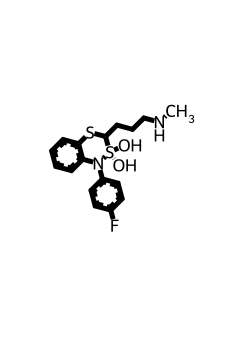 CNCCCC1Sc2ccccc2N(c2ccc(F)cc2)S1(O)O